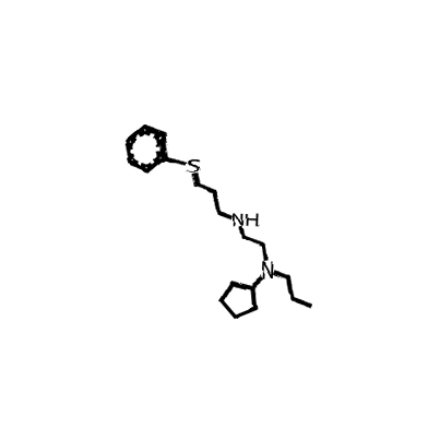 CCCN(CCNCCCSc1ccccc1)C1CCCC1